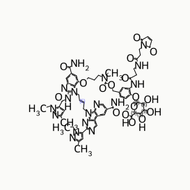 CCn1nc(C)cc1C(=O)Nc1nc2cc(C(N)=O)cc(OCCCN(C)C(=O)OCc3ccc(O[C@@H]4O[C@H](C(=O)O)[C@@H](O)[C@H](O)[C@H]4O)c(NC(=O)CCNC(=O)CCN4C(=O)C=CC4=O)c3)c2n1C/C=C/Cn1c2ncc(C(N)=O)cc2c2cnc(-c3cc(C)nn3CC)nc21